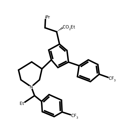 CCOC(=O)[C@@H](CC(C)C)c1cc(-c2ccc(C(F)(F)F)cc2)cc(C2CCCN(C(CC)c3ccc(C(F)(F)F)cc3)C2)c1